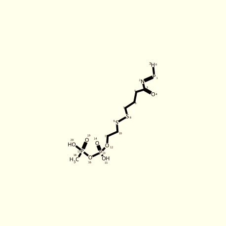 [3H]/P=N/C(=O)CCCSSCCOP(=O)(O)OP(C)(=O)O